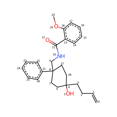 C=CCCC1(O)CCC(CNC(=O)c2ccccc2OC)(c2ccccc2)CC1